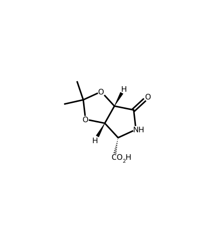 CC1(C)O[C@H]2[C@@H](C(=O)O)NC(=O)[C@H]2O1